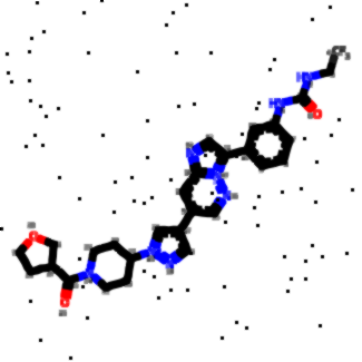 O=C(NCC(F)(F)F)Nc1cccc(-c2cnc3cc(-c4cnn(C5CCN(C(=O)C6CCOC6)CC5)c4)cnn23)c1